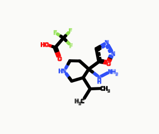 CC(C)C1CNCCC1(NN)c1cnno1.O=C(O)C(F)(F)F